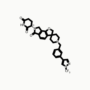 O=C1CC[C@H](N2Cc3c(ccc4c3OCC43CCN(Cc4cccc(-c5cnn(C(F)(F)F)c5)c4)CC3)C2=O)C(=O)N1